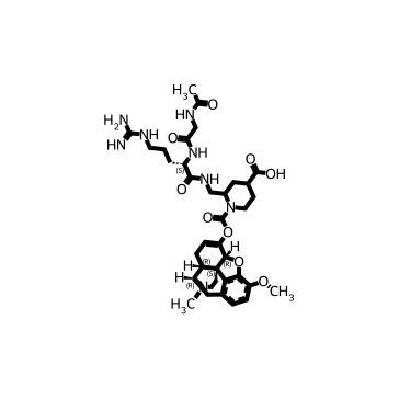 COc1ccc2c3c1O[C@H]1C(OC(=O)N4CCC(C(=O)O)CC4CNC(=O)[C@H](CCCNC(=N)N)NC(=O)CNC(C)=O)=CC[C@H]4[C@@H](C2)N(C)CC[C@]314